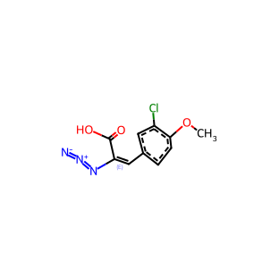 COc1ccc(/C=C(/N=[N+]=[N-])C(=O)O)cc1Cl